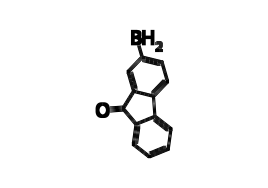 Bc1ccc2c(c1)C(=O)c1ccccc1-2